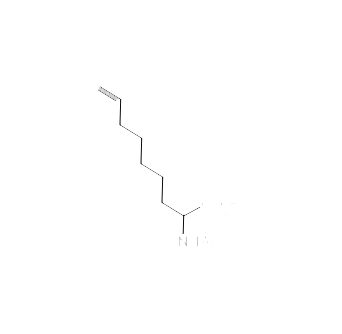 C=CCCCCCC(NC(C)=O)C(=O)OCC